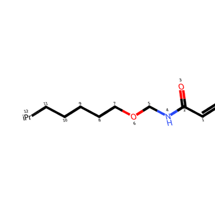 C=CC(=O)NCOCCCCCC(C)C